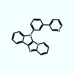 c1cncc(-c2cccc(-n3c4ccccc4c4nc5ccccn5c43)c2)c1